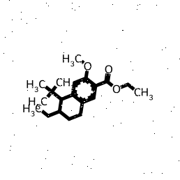 CCOC(=O)c1cc2c(cc1OC)C(C(C)(C)C)C(CC)CC2